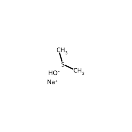 CSC.[Na+].[OH-]